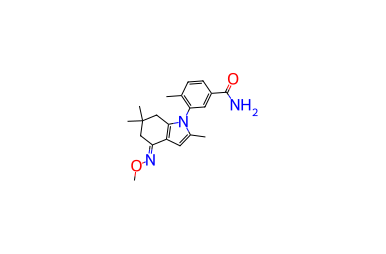 CON=C1CC(C)(C)Cc2c1cc(C)n2-c1cc(C(N)=O)ccc1C